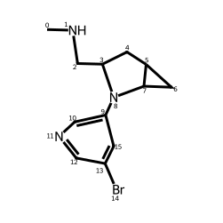 CNCC1CC2CC2N1c1cncc(Br)c1